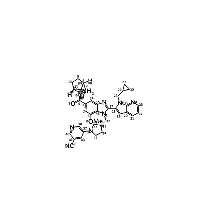 COc1cc(C(=O)N2C[C@H]3CC[C@@H]2[C@@H]3N)cc2nc(-c3cc4cccnc4n3CC3CC3)n(C[C@@H]3CCN(c4cncc(C#N)c4)C3)c12